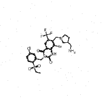 CCS(=O)(=O)c1ccc(Cl)cc1Cn1c(=O)[nH]c2c(Br)c(CN3CCC(CN)C3)c(C(F)(F)F)cc2c1=O